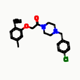 Cc1ccc(C(C)(C)C)c(OCC(=O)N2CCN(Cc3ccc(Cl)cc3)CC2)c1